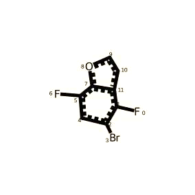 Fc1c(Br)cc(F)c2occc12